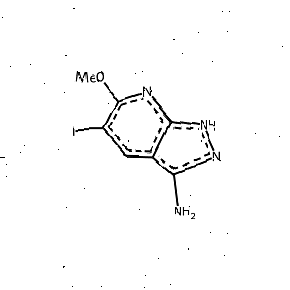 COc1nc2[nH]nc(N)c2cc1I